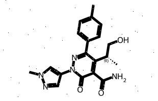 Cc1ccc(-c2nn(-c3cnn(C)c3)c(=O)c(C(N)=O)c2[C@@H](C)CO)cc1